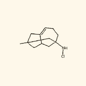 CC12CC3=CCCC(NCl)(CC3C1)C2